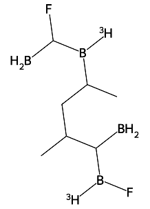 [3H]B(C(B)F)C(C)CC(C)C(B)B([3H])F